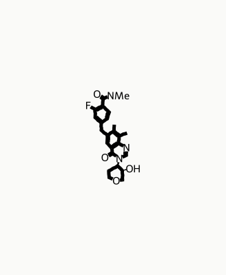 CNC(=O)c1ccc(Cc2cc3c(=O)n([C@@H]4CCOC[C@H]4O)cnc3c(C)c2C)cc1F